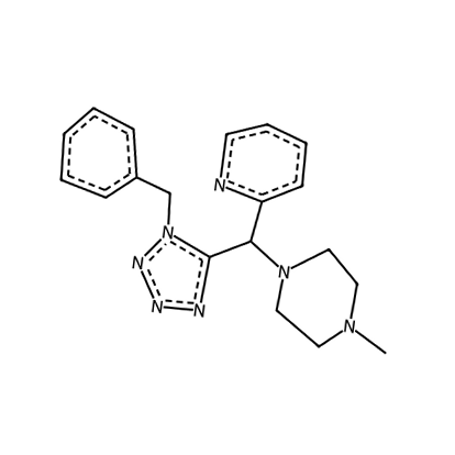 CN1CCN(C(c2ccccn2)c2nnnn2Cc2ccccc2)CC1